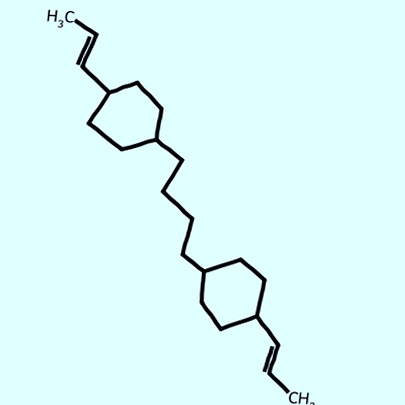 CC=CC1CCC(CCCCC2CCC(C=CC)CC2)CC1